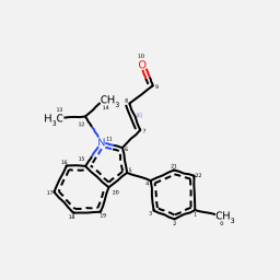 Cc1ccc(-c2c(/C=C/C=O)n(C(C)C)c3ccccc23)cc1